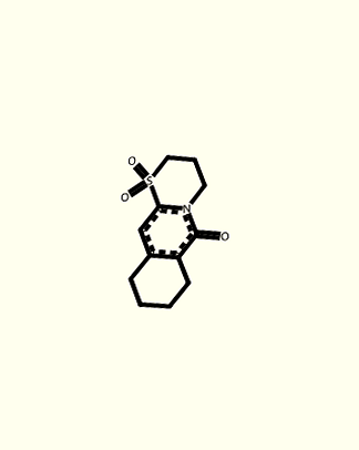 O=c1c2c(cc3n1CCCS3(=O)=O)CCCC2